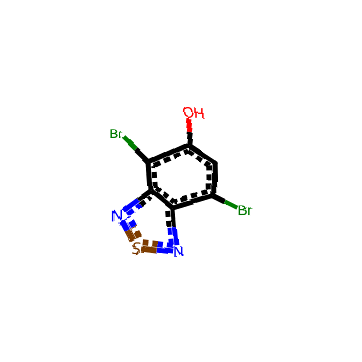 Oc1cc(Br)c2nsnc2c1Br